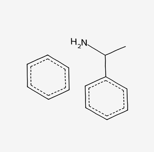 CC(N)c1ccccc1.c1ccccc1